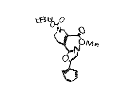 COC(=O)C1=C(c2ncc(-c3ccccc3)o2)CCN(C(=O)OC(C)(C)C)C1